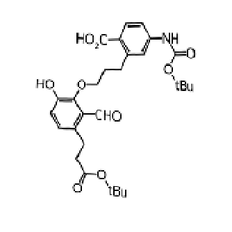 CC(C)(C)OC(=O)CCc1ccc(O)c(OCCCc2cc(NC(=O)OC(C)(C)C)ccc2C(=O)O)c1C=O